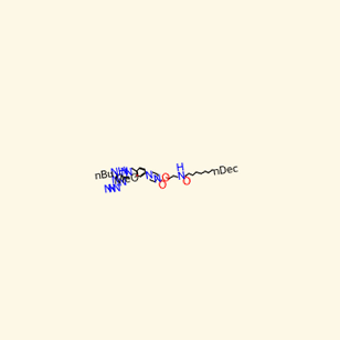 CCCCCCCCCCCCCCCCCC(=O)NCCCOC(=O)N1CCN(c2ccc(Cn3cc4nc(N=[N+]=[N-])nc(NCCCC)c4n3)c(OC)c2)CC1